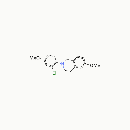 COc1ccc(N2CCc3cc(OC)ccc3C2)c(Cl)c1